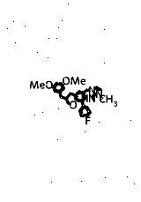 COc1cc(CC2COc3c(cc(Cn4ccn(C)c4=N)cc3-c3ccc(F)cc3)C2)cc(OC)c1